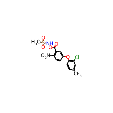 CS(=O)(=O)NOC(=O)c1cc(Oc2ccc(C(F)(F)F)cc2Cl)ccc1[N+](=O)[O-]